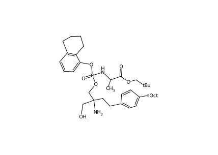 CCCCCCCCc1ccc(CCC(N)(CO)COP(=O)(NC(C)C(=O)OCC(C)(C)C)Oc2cccc3c2CCCC3)cc1